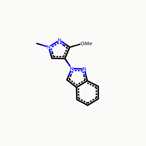 COc1nn(C)cc1-n1cc2ccccc2n1